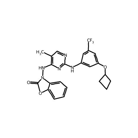 Cc1cnc(Nc2cc(OC3CCC3)cc(C(F)(F)F)c2)nc1Nn1c(=O)oc2ccccc21